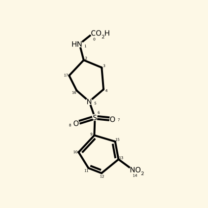 O=C(O)NC1CCN(S(=O)(=O)c2cccc([N+](=O)[O-])c2)CC1